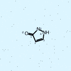 O=C1C=CN[N]1